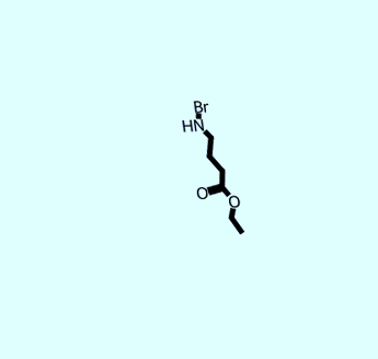 CCOC(=O)CCCNBr